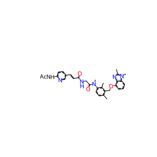 CC(=O)Nc1ccc(/C=C/C(=O)NCC(=O)N(C)c2ccc(C)c(COc3cccc4c3nc(C)n4C)c2C)cn1